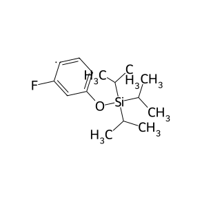 CC(C)[Si](Oc1cc[c]c(F)c1)(C(C)C)C(C)C